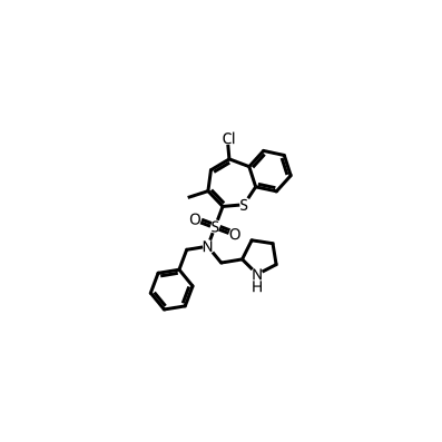 CC1=C(S(=O)(=O)N(Cc2ccccc2)CC2CCCN2)Sc2ccccc2C(Cl)=C1